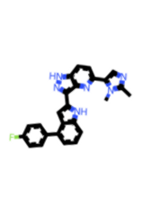 Cc1ncc(-c2ccc3[nH]nc(-c4cc5c(-c6ccc(F)cc6)cccc5[nH]4)c3n2)n1C